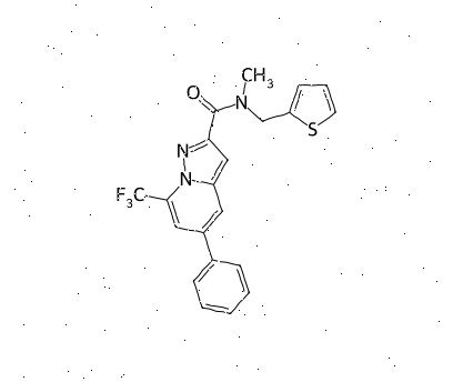 CN(Cc1cccs1)C(=O)c1cc2cc(-c3ccccc3)cc(C(F)(F)F)n2n1